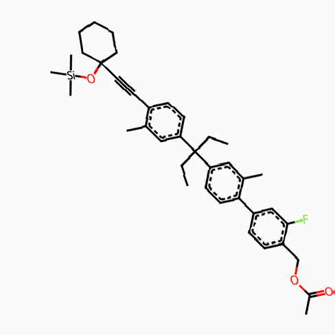 CCC(CC)(c1ccc(C#CC2(O[Si](C)(C)C)CCCCC2)c(C)c1)c1ccc(-c2ccc(COC(C)=O)c(F)c2)c(C)c1